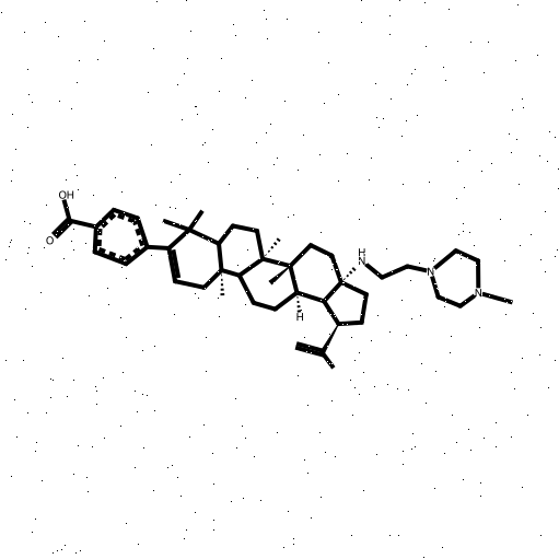 C=C(C)[C@@H]1CC[C@]2(NCCN3CCN(C)CC3)CC[C@]3(C)[C@H](CCC4[C@@]5(C)CC=C(c6ccc(C(=O)O)cc6)C(C)(C)C5CC[C@]43C)C12